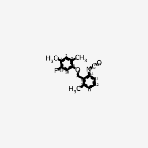 Cc1cc(C)c(OCc2c(C)cccc2N=C=O)cc1F